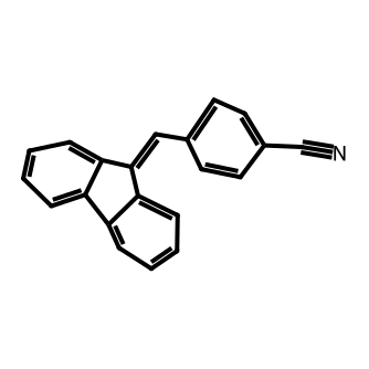 N#Cc1ccc(C=C2c3ccccc3-c3ccccc32)cc1